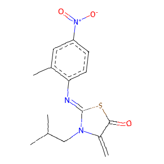 C=C1C(=O)SC(=Nc2ccc([N+](=O)[O-])cc2C)N1CC(C)C